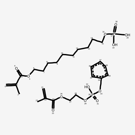 C=C(C)C(=O)OCCCCCCCCCCOP(=O)(O)O.C=C(C)C(=O)OCCOP(=O)(O)Oc1ccccc1